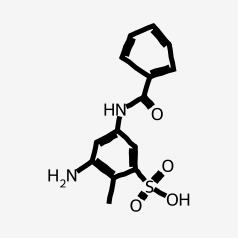 Cc1c(N)cc(NC(=O)c2ccccc2)cc1S(=O)(=O)O